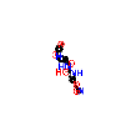 COc1ccc(C(=O)N2CCc3cc(C(=O)NC[C@@H](O)[C@@H]4Cc5ccc(OCc6cnco6)cc5CN4)ccc3C2)cc1